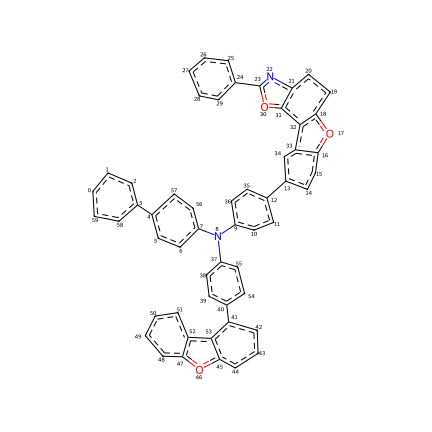 c1ccc(-c2ccc(N(c3ccc(-c4ccc5oc6ccc7nc(-c8ccccc8)oc7c6c5c4)cc3)c3ccc(-c4cccc5oc6ccccc6c45)cc3)cc2)cc1